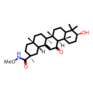 CONC(=O)[C@@]1(C)CC[C@]2(C)CC[C@]3(C)C(=CC(=O)[C@@H]4[C@@]5(C)CC[C@H](O)C(C)(C)C5CC[C@]43C)[C@@H]2C1